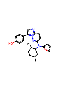 CC1CCC(C(C)C)C(N(c2ccc3ncc(-c4ccc(O)cc4)n3n2)c2ccco2)C1